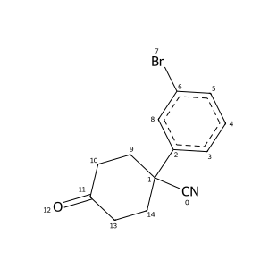 N#CC1(c2cccc(Br)c2)CCC(=O)CC1